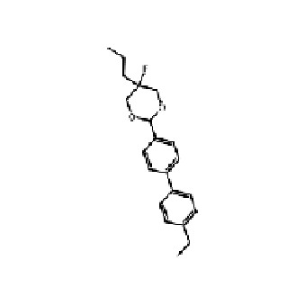 CCCC1(F)COC(c2ccc(-c3ccc(CC)cc3)cc2)OC1